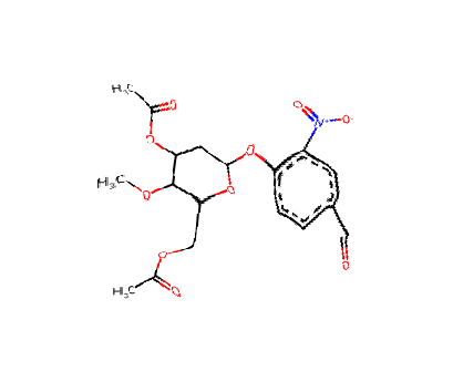 COC1C(OC(C)=O)CC(Oc2ccc(C=O)cc2[N+](=O)[O-])OC1COC(C)=O